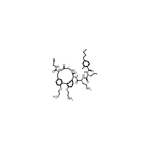 CCCCc1ccc(C(=O)N[C@@H](CCC)C(=O)N[C@@H](CCN)C(=O)N(C)[C@@H]2C(=O)N[C@@H](C)C(=O)N[C@H](C(=O)NCC#N)Cc3ccc(OCCN)c(c3)-c3cc2ccc3OCCN)c(C)c1